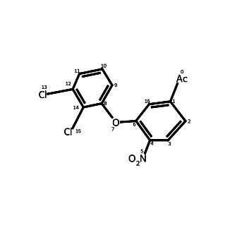 CC(=O)c1ccc([N+](=O)[O-])c(Oc2cccc(Cl)c2Cl)c1